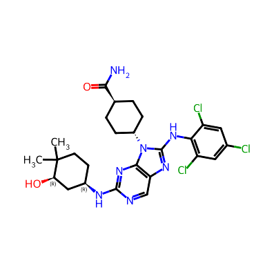 CC1(C)CC[C@@H](Nc2ncc3nc(Nc4c(Cl)cc(Cl)cc4Cl)n([C@H]4CC[C@H](C(N)=O)CC4)c3n2)C[C@H]1O